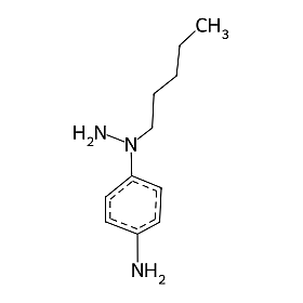 CCCCCN(N)c1ccc(N)cc1